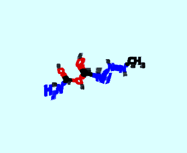 C/N=N/NC(=O)OC(N)=O